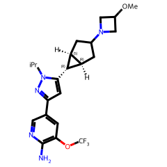 COC1CN(C2C[C@@H]3[C@H](C2)[C@H]3c2cc(-c3cnc(N)c(OC(F)(F)F)c3)nn2C(C)C)C1